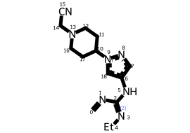 C=N/C(=N\CC)Nc1cnn(C2CCN(CC#N)CC2)c1